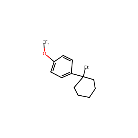 CCC1(c2ccc(OC(F)(F)F)cc2)CCCCC1